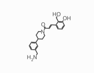 NCc1cccc(C2CCN(C(=O)C=Cc3cccc(O)c3CO)CC2)c1